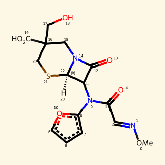 CON=CC(=O)N(c1ccco1)C1C(=O)N2CC(CO)(C(=O)O)CS[C@H]12